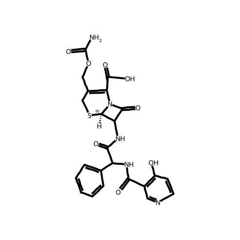 NC(=O)OCC1=C(C(=O)O)N2C(=O)C(NC(=O)C(NC(=O)c3cnccc3O)c3ccccc3)[C@H]2SC1